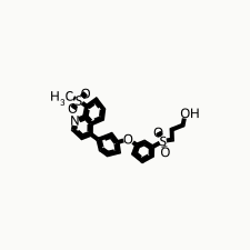 CS(=O)(=O)c1cccc2c(-c3cccc(Oc4cccc(S(=O)(=O)CCCO)c4)c3)ccnc12